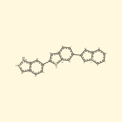 c1ccn2cc(-c3ccc4cc(-c5ccc6cn[nH]c6c5)oc4c3)cc2c1